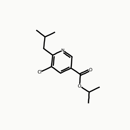 CC(C)Cc1ncc(C(=O)OC(C)C)cc1Cl